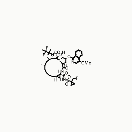 COc1cnc(O[C@@H]2C[C@H]3C(=O)N[C@]4(C(=O)NS(=O)(=O)C5(CF)CC5)C[C@H]4CCCC[C@H](C)C[C@@H](C)[C@H](N(C(=O)O)C(C)(C)C(C)(F)F)C(=O)N3C2)c2ccccc12